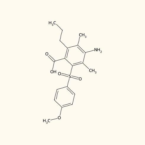 CCCc1c(C)c(N)c(C)c(S(=O)(=O)c2ccc(OC)cc2)c1C(=O)O